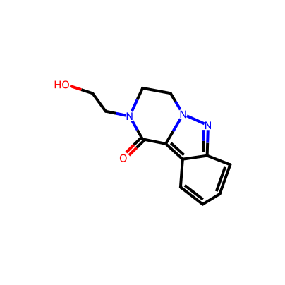 O=C1c2c3ccccc3nn2CCN1CCO